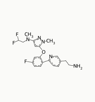 CN(CC(F)F)c1cc(Oc2cc(F)ccc2-c2ccc(CCN)cn2)n(C)n1